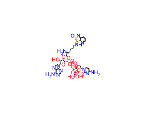 Nc1ccn(C2CC(OP(=O)(O)OCC3OC(n4cnc5c(N)ncnc54)C(O)C3OC(=O)[C@H](N)CCCCNSc3ncccc3[N+](=O)[O-])C(COP(=O)(O)O)O2)c(=O)n1